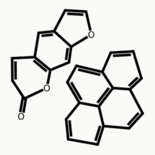 O=c1ccc2cc3ccoc3cc2o1.c1cc2ccc3cccc4ccc(c1)c2c34